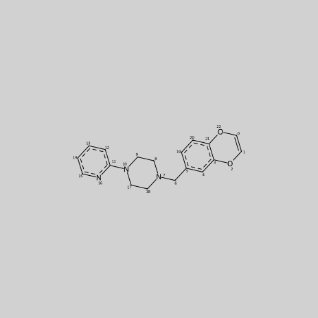 C1=COc2cc(CN3CCN(c4ccccn4)CC3)ccc2O1